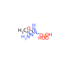 CCn1c(N)nc2c(c1=O)NCN2CCOCP(=O)(O)O